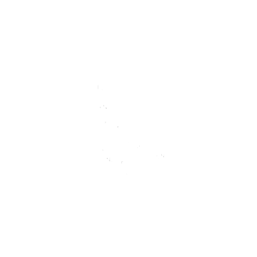 N#Cc1ccc2[nH]cc(CCNCC(F)(F)F)c2c1